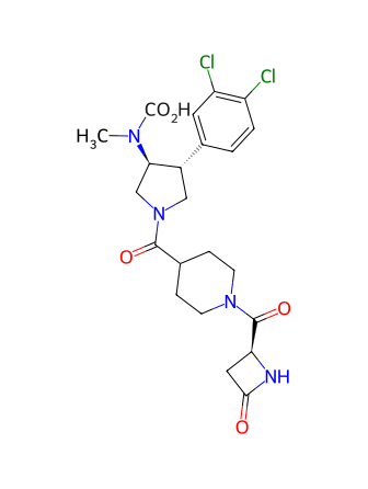 CN(C(=O)O)[C@@H]1CN(C(=O)C2CCN(C(=O)[C@@H]3CC(=O)N3)CC2)C[C@H]1c1ccc(Cl)c(Cl)c1